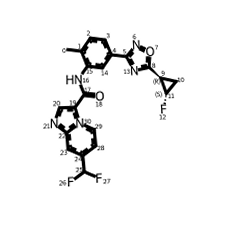 Cc1ccc(-c2noc([C@H]3C[C@@H]3F)n2)cc1NC(=O)c1cnc2cc(C(F)F)ccn12